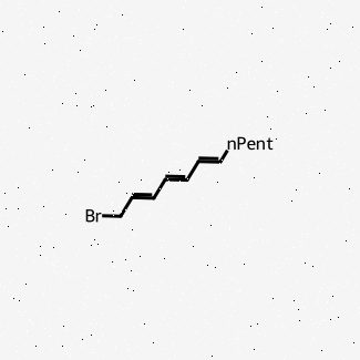 CCCCCC=CC=CC=CCBr